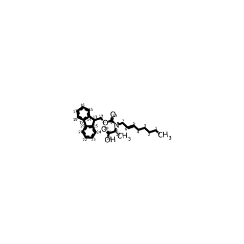 CCCCCC=CCN(C(=O)OCC1c2ccccc2-c2ccccc21)[C@H](C)C(=O)O